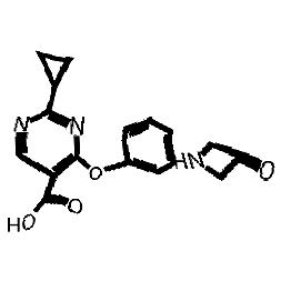 O=C(O)c1cnc(C2CC2)nc1Oc1ccccc1.O=C1CNC1